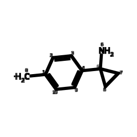 [CH2]c1ccc(C2(N)CC2)cc1